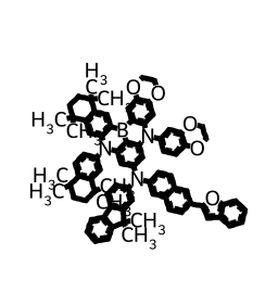 CC1(C)CCC(C)(C)c2cc(N3c4cc5c(cc4B4c6cc7c(cc6N(c6ccc8c(c6)OCCO8)c6cc(N(c8ccc9c(c8)C(C)(C)c8ccccc8-9)c8ccc9cc(-c%10cc%11ccccc%11o%10)ccc9c8)cc3c64)OCCO7)C(C)(C)CCC5(C)C)ccc21